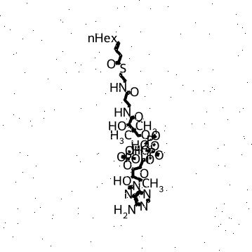 CCCCCCC=CCC(=O)SCCNC(=O)CCNC(=O)C(O)C(C)(C)COP(=O)(O)OP(=O)(O)OCC1OC(C)(n2cnc3c(N)ncnc32)C(O)C1OP(=O)(O)O